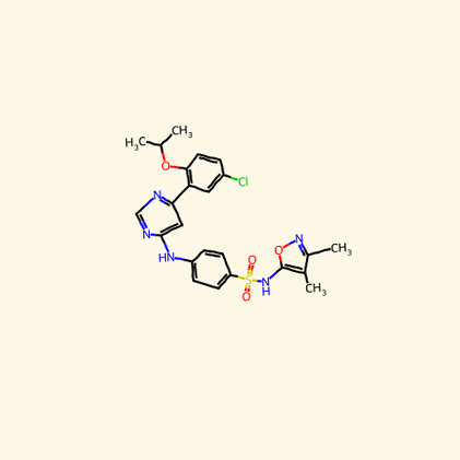 Cc1noc(NS(=O)(=O)c2ccc(Nc3cc(-c4cc(Cl)ccc4OC(C)C)ncn3)cc2)c1C